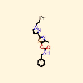 Cc1nc(-c2ccn(CCC(C)C)n2)sc1OC(=O)NCc1ccccc1